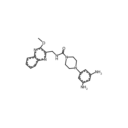 COc1nc2ccccc2nc1CNC(=O)N1CCN(c2cc(N)cc(N)c2)CC1